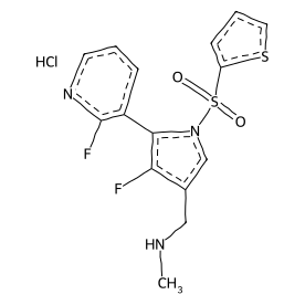 CNCc1cn(S(=O)(=O)c2cccs2)c(-c2cccnc2F)c1F.Cl